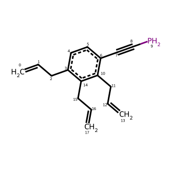 C=CCc1ccc(C#CP)c(CC=C)c1CC=C